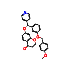 COc1ccc(COc2cccc([C@H](Oc3ccc4c(c3)OCCC4=O)c3ccncc3)c2)cc1